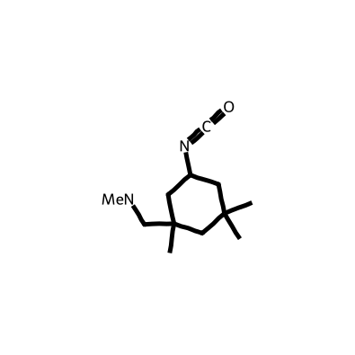 CNCC1(C)CC(N=C=O)CC(C)(C)C1